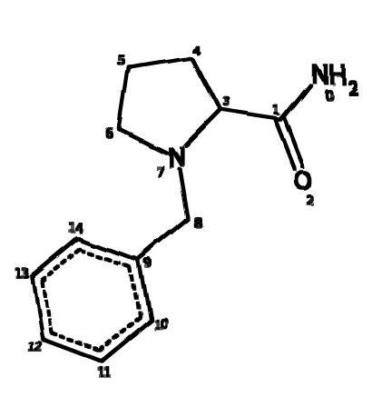 NC(=O)C1CCCN1Cc1ccccc1